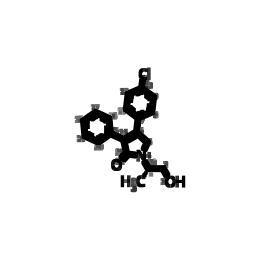 C[C@@H](CO)N1CC(c2ccc(Cl)cc2)=C(c2ccccc2)C1=O